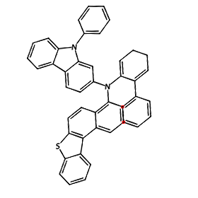 C1=C(c2ccccc2)C(N(c2ccc3c4ccccc4n(-c4ccccc4)c3c2)c2cccc3c2ccc2sc4ccccc4c23)=CCC1